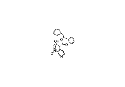 O=C(O)C(C(=O)OC(Cc1ccccc1)c1ccccc1)c1ccncc1[N+](=O)[O-]